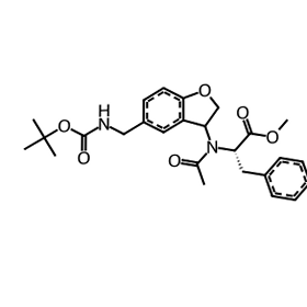 COC(=O)[C@H](Cc1ccccc1)N(C(C)=O)C1COc2ccc(CNC(=O)OC(C)(C)C)cc21